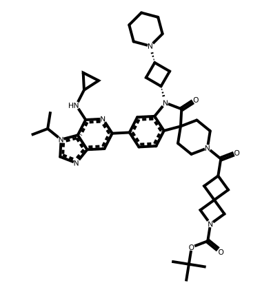 CC(C)n1cnc2cc(-c3ccc4c(c3)N([C@H]3C[C@@H](N5CCCCC5)C3)C(=O)C43CCN(C(=O)C4CC5(C4)CN(C(=O)OC(C)(C)C)C5)CC3)nc(NC3CC3)c21